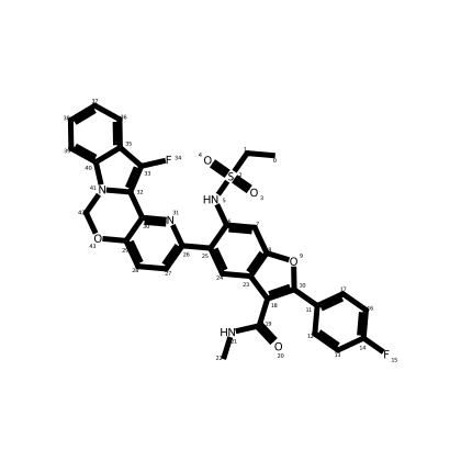 CCS(=O)(=O)Nc1cc2oc(-c3ccc(F)cc3)c(C(=O)NC)c2cc1-c1ccc2c(n1)-c1c(F)c3ccccc3n1CO2